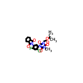 CC(C)OC(=O)Cn1c(=O)n(C)c(=O)n(-c2cc(N3C(=O)C4CCCCC4C3=O)c(F)cc2Cl)c1=O